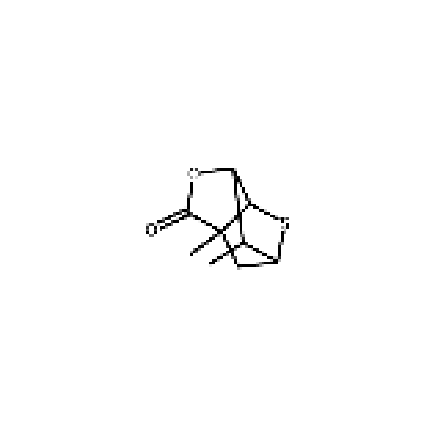 CC1C2CC3(C)C(=O)OC1C3S2